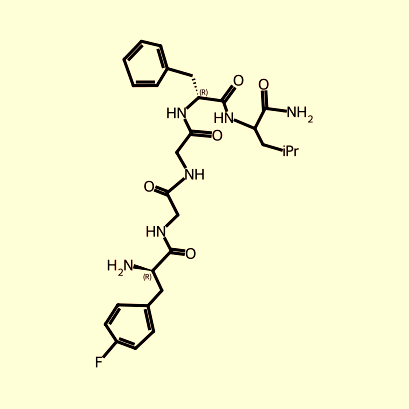 CC(C)CC(NC(=O)[C@@H](Cc1ccccc1)NC(=O)CNC(=O)CNC(=O)[C@H](N)Cc1ccc(F)cc1)C(N)=O